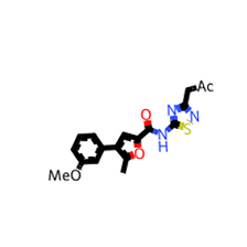 COc1cccc(-c2cc(C(=O)Nc3nc(CC(C)=O)ns3)oc2C)c1